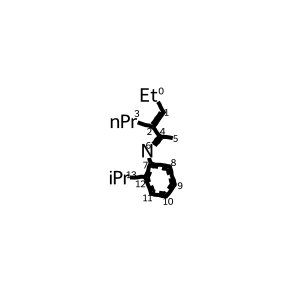 CC/C=C(CCC)/C(C)=N/c1ccccc1C(C)C